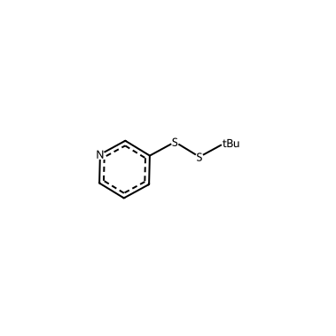 CC(C)(C)SSc1cccnc1